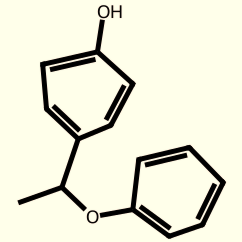 CC(Oc1ccccc1)c1ccc(O)cc1